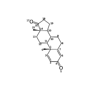 C[C@]12C=CC(=O)C=C1CCC1C2CC[C@]2(C)C(=O)CCC12